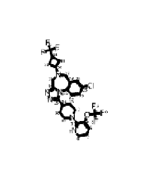 FC(F)(F)Oc1cccnc1N1CCC(c2nnc3n2-c2ccc(Cl)cc2CN(C2CC(C(F)(F)F)C2)C3)CC1